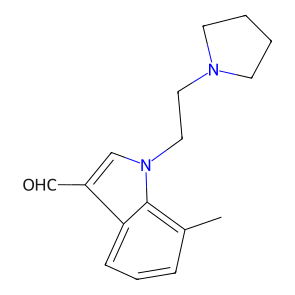 Cc1cccc2c(C=O)cn(CCN3CCCC3)c12